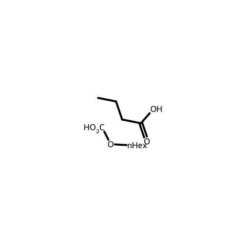 CCCC(=O)O.CCCCCCOC(=O)O